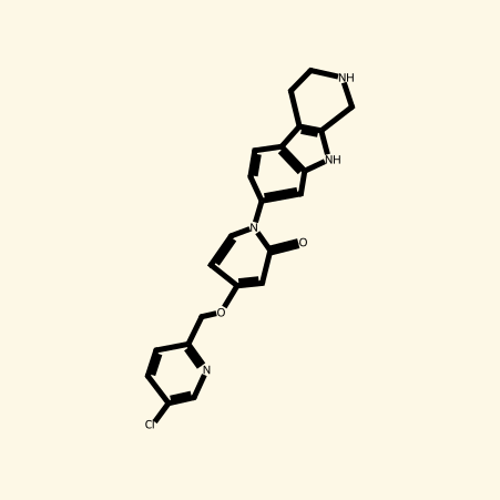 O=c1cc(OCc2ccc(Cl)cn2)ccn1-c1ccc2c3c([nH]c2c1)CNCC3